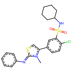 Cn1c(-c2ccc(Cl)c(S(=O)(=O)NC3CCCCC3)c2)csc1=Nc1ccccc1